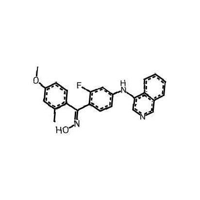 COc1ccc(C(=NO)c2ccc(Nc3cncc4ccccc34)cc2F)c(C)c1